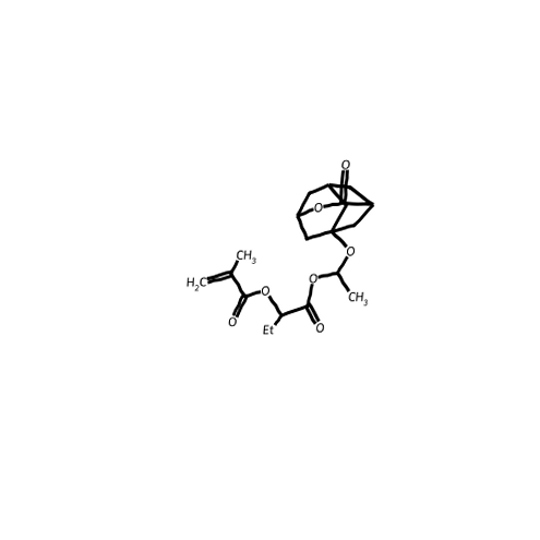 C=C(C)C(=O)OC(CC)C(=O)OC(C)OC12CC3CC(C1)OC(=O)C(C3)C2